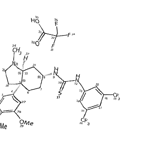 COc1ccc([C@@]23CC[C@@H](NC(=S)Nc4cc(C(F)(F)F)cc(C(F)(F)F)c4)C[C@@H]2N(C)CC3)cc1OC.O=C(O)C(F)(F)F